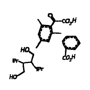 CC(C)C(CO)C(CO)C(C)C.Cc1cc(C)c(C(=O)C(=O)O)c(C)c1.O=C(O)c1ccccc1